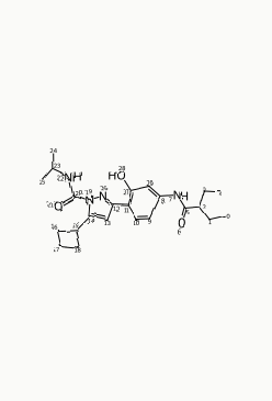 CCC(CC)C(=O)Nc1ccc(-c2cc(C3CCC3)n(C(=O)NC(C)C)n2)c(O)c1